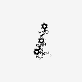 CC(C)n1nc(C(=O)NC2CCN(CCNC(=O)c3ccccc3)CC2)c2ccccc21